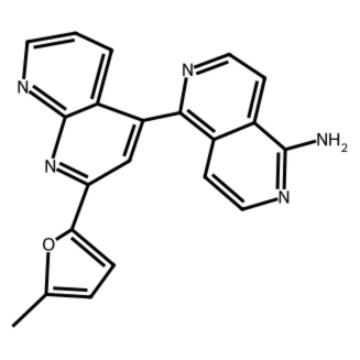 Cc1ccc(-c2cc(-c3nccc4c(N)nccc34)c3cccnc3n2)o1